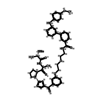 CN[C@@H](C)C(=O)N[C@@H](C)C(=O)N1CCC[C@H]1c1nc(C(=O)c2cccc(OCCOCCNC(=O)c3cccc(-c4cc(Nc5ccc(OC(F)(F)F)cc5)ncn4)c3)c2)cs1